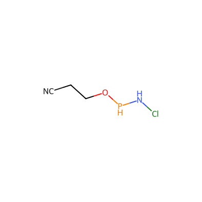 N#CCCOPNCl